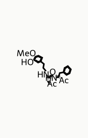 COc1ccc(CCCN[C@@H](CC(C)=O)C(=O)N[C@@H](Cc2ccccc2)C(C)=O)cc1O